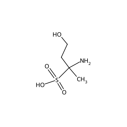 CC(N)(CCO)S(=O)(=O)O